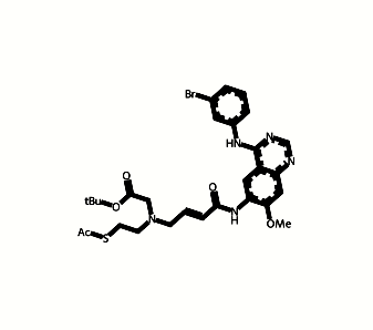 COc1cc2ncnc(Nc3cccc(Br)c3)c2cc1NC(=O)C=CCN(CCSC(C)=O)CC(=O)OC(C)(C)C